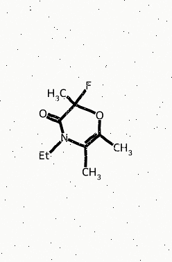 CCN1C(=O)C(C)(F)OC(C)=C1C